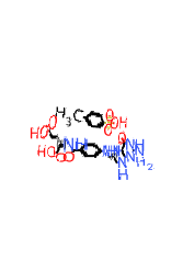 Cc1ccc(S(=O)(=O)O)cc1.Nc1nc2c(c(=O)[nH]1)N[C@H](CNc1ccc(C(=O)N[C@@H](CCC(=O)O)C(=O)O)cc1)CN2